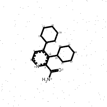 NC(=O)c1nccc(C2CCCCC2)c1C1CCCCC1